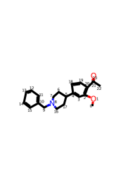 COc1cc(C2CCN(Cc3ccccc3)CC2)ccc1C(C)=O